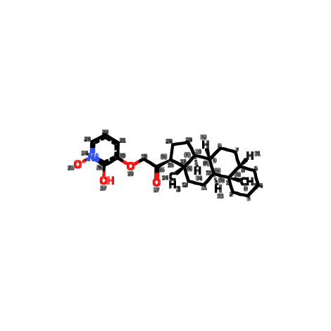 C[C@]12CCCC[C@H]1CC[C@@H]1[C@@H]2CC[C@]2(C)[C@@H](C(=O)COc3ccc[n+]([O-])c3O)CC[C@@H]12